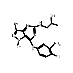 CC(O)CNc1nc(Nc2ccc(Cl)c(N)c2)c2c(n1)c(C(C)C)nn2C(C)C